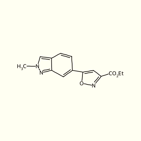 CCOC(=O)c1cc(-c2ccc3cn(C)nc3c2)on1